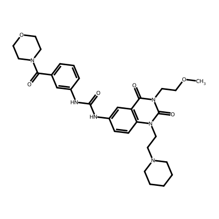 COCCn1c(=O)c2cc(NC(=O)Nc3cccc(C(=O)N4CCOCC4)c3)ccc2n(CCN2CCCCC2)c1=O